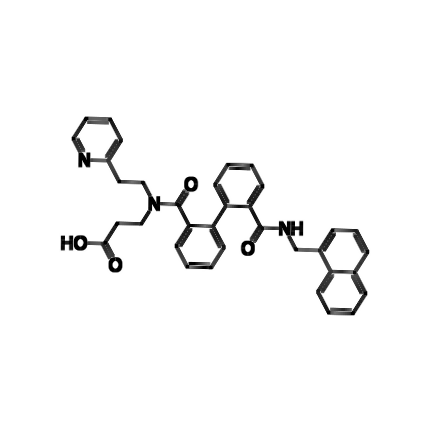 O=C(O)CCN(CCc1ccccn1)C(=O)c1ccccc1-c1ccccc1C(=O)NCc1cccc2ccccc12